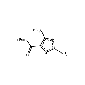 CCCCCC(=O)c1sc(N)nc1C(=O)O